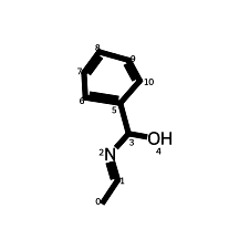 CC=NC(O)c1ccccc1